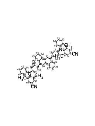 Cc1cc(C#N)cc(C)c1N(c1ccccc1)c1ccc(-c2cc3c4cccc5c4c(cc3c3ccccc23)-c2ccc(N(c3ccccc3)c3c(C)cc(C#N)cc3C)cc2O5)cc1